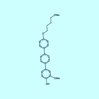 COCCCCOc1ccc(-c2ccc(-c3ccc(O)c(OC)c3)cc2)cc1